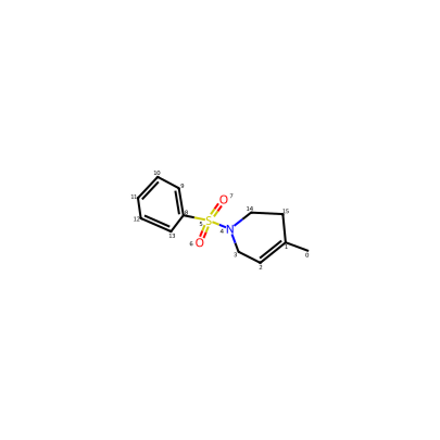 CC1=CCN(S(=O)(=O)c2ccccc2)CC1